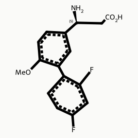 COc1ccc([C@@H](N)CC(=O)O)cc1-c1ccc(F)cc1F